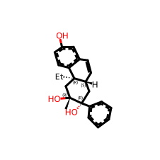 CC[C@@]12C[C@@](C)(O)[C@](O)(c3ccccc3)C[C@H]1C=Cc1cc(O)ccc12